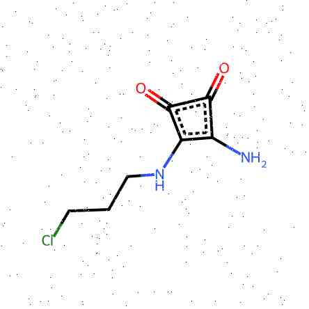 Nc1c(NCCCCl)c(=O)c1=O